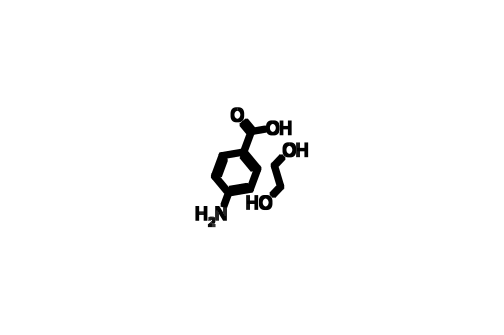 Nc1ccc(C(=O)O)cc1.OCCO